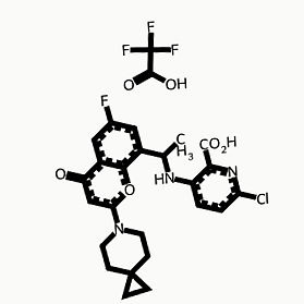 CC(Nc1ccc(Cl)nc1C(=O)O)c1cc(F)cc2c(=O)cc(N3CCC4(CC3)CC4)oc12.O=C(O)C(F)(F)F